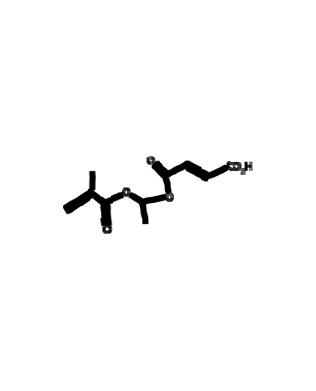 C=C(C)C(=O)OC(C)OC(=O)C=CC(=O)O